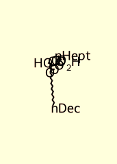 CCCCCCCCCCCCCCCCCCCCCCOC(=O)CC(O)(CC(=O)OC(=O)CCCCCCC)C(=O)O